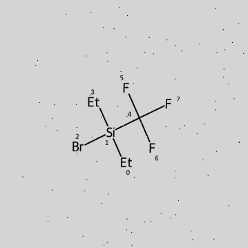 CC[Si](Br)(CC)C(F)(F)F